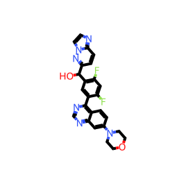 OC(c1ccc2nccn2n1)c1cc(-c2ncnc3cc(N4CCOCC4)ccc23)c(F)cc1F